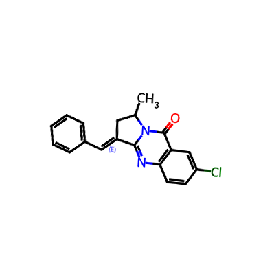 CC1C/C(=C\c2ccccc2)c2nc3ccc(Cl)cc3c(=O)n21